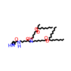 CCCCCCCCC(CC)OC(=O)CCCCCN(CCCCCCCC(=O)OC(CCCCCCCC)CCCCCCCC)CC(O)CCCCNC(=O)c1cc[nH]c1